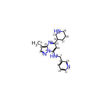 Cc1cnn2c(NCc3cccnc3)cc(C3CCCNC3)nc12